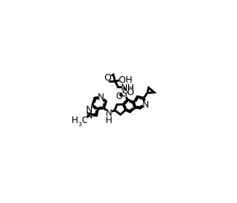 Cn1cc2c(NC3Cc4cc5cnc(C6CC6)cc5c(S(=O)(=O)NCC5(O)COC5)c4C3)cncc2n1